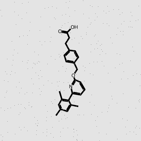 Cc1cc(C)c(-c2cccc(OCc3ccc(CCC(=O)O)cc3)n2)c(C)c1